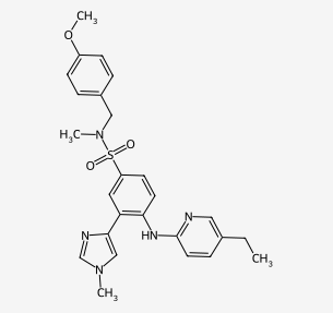 CCc1ccc(Nc2ccc(S(=O)(=O)N(C)Cc3ccc(OC)cc3)cc2-c2cn(C)cn2)nc1